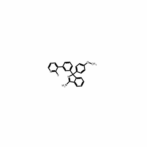 COc1ccc(C2(c3cccc(-c4cccnc4F)c3)N=C(N)c3ccccc32)cc1